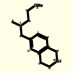 COCCN(C)Cc1ccc2c(n1)CCNC2